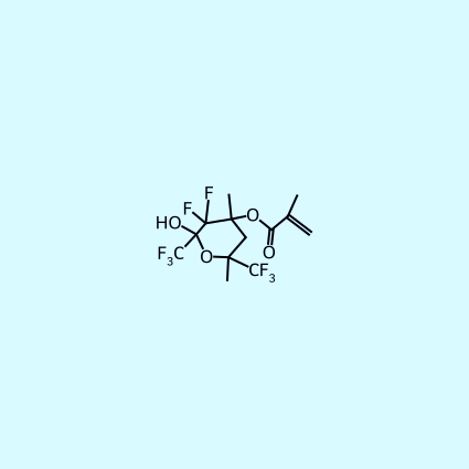 C=C(C)C(=O)OC1(C)CC(C)(C(F)(F)F)OC(O)(C(F)(F)F)C1(F)F